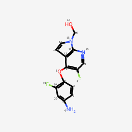 Nc1ccc(Oc2c(F)cnc3c2ccn3CO)c(F)c1